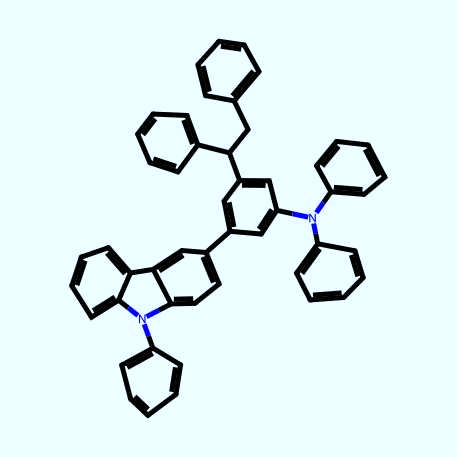 c1ccc(CC(c2ccccc2)c2cc(-c3ccc4c(c3)c3ccccc3n4-c3ccccc3)cc(N(c3ccccc3)c3ccccc3)c2)cc1